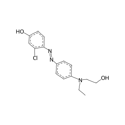 CCN(CCO)c1ccc(/N=N/c2ccc(O)cc2Cl)cc1